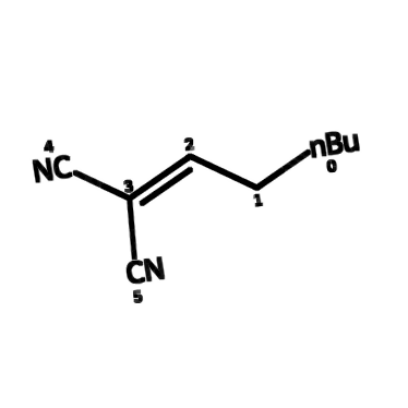 CCCCCC=C(C#N)C#N